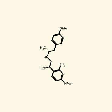 CNc1ccc([C@@H](O)CN[C@H](C)Cc2ccc(OC)cc2)c(C)n1